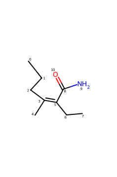 CCCC(C)=C(CC)C(N)=O